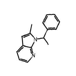 Cc1cc2cccnc2n1C(C)c1ccccc1